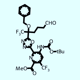 COC(=O)c1nc(-c2nnc(C(CCCC=O)(OCc3ccccc3)C(F)(F)F)o2)c(NC(=O)OC(C)(C)C)cc1C(F)(F)F